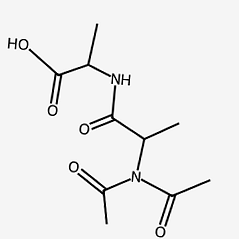 CC(=O)N(C(C)=O)C(C)C(=O)NC(C)C(=O)O